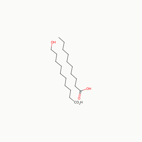 CCCCCCCCCC(=O)O.O=C(O)CCCCCCCCCO